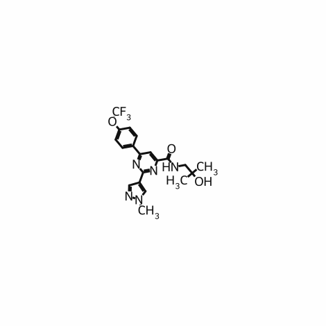 Cn1cc(-c2nc(C(=O)NCC(C)(C)O)cc(-c3ccc(OC(F)(F)F)cc3)n2)cn1